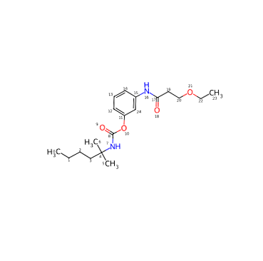 CCCCC(C)(C)NC(=O)Oc1cccc(NC(=O)CCOCC)c1